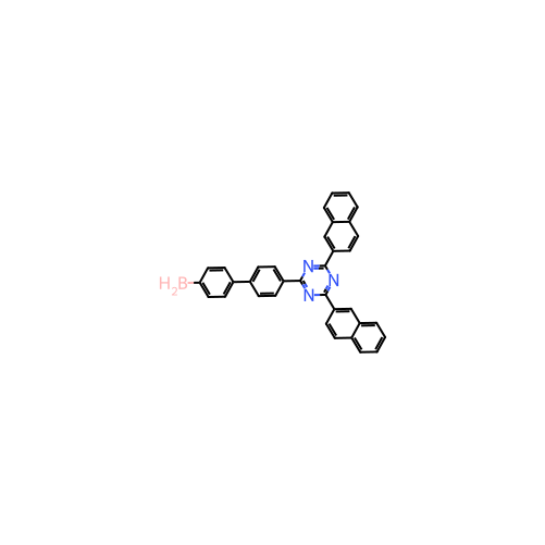 Bc1ccc(-c2ccc(-c3nc(-c4ccc5ccccc5c4)nc(-c4ccc5ccccc5c4)n3)cc2)cc1